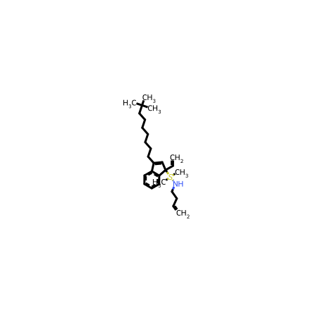 C=CCCNS(C)(C)C1(C=C)C=C(CCCCCCCC(C)(C)C)c2ccccc21